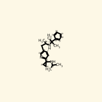 CC(C)NC1(c2ccc(CC(C)NC(C)(C)c3ccccc3)cn2)CC1